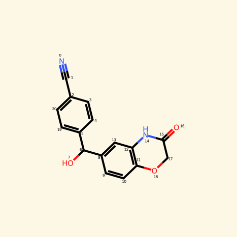 N#Cc1ccc(C(O)c2ccc3c(c2)NC(=O)CO3)cc1